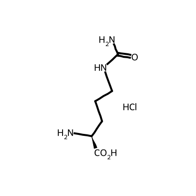 Cl.NC(=O)NCCC[C@H](N)C(=O)O